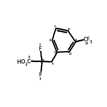 O=C(O)C(F)(F)Cc1cccc(C(F)(F)F)c1